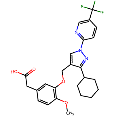 COc1ccc(CC(=O)O)cc1OCc1cn(-c2ccc(C(F)(F)F)cn2)nc1C1CCCCC1